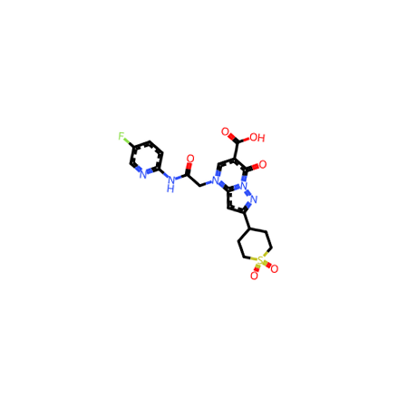 O=C(Cn1cc(C(=O)O)c(=O)n2nc(C3CCS(=O)(=O)CC3)cc12)Nc1ccc(F)cn1